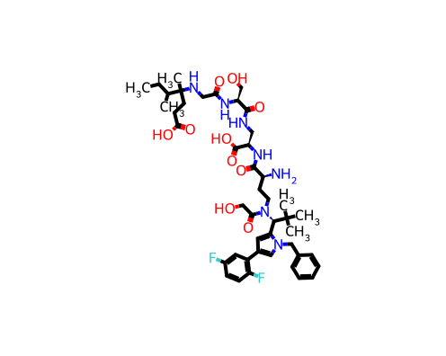 CCC(C)C(C)(CCC(=O)O)NCC(=O)N[C@@H](CO)C(=O)NC[C@@H](NC(=O)[C@@H](N)CCN(C(=O)CO)[C@@H](c1cc(-c2cc(F)ccc2F)cn1Cc1ccccc1)C(C)(C)C)C(=O)O